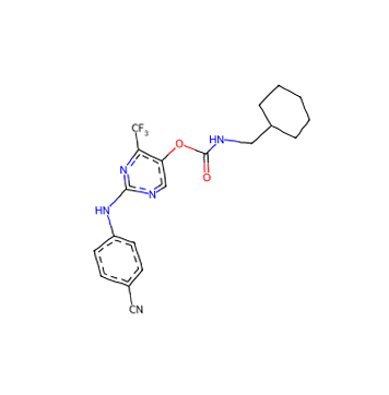 N#Cc1ccc(Nc2ncc(OC(=O)NCC3CCCCC3)c(C(F)(F)F)n2)cc1